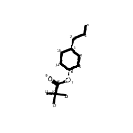 CCC[C@H]1CC[C@H](OC(=O)C(C)(C)C)CC1